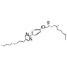 CCCCCCCCc1cnc(-c2ccc(OCC(F)CCC(C)CCCCC)cc2)nc1